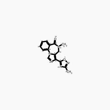 Cc1noc(-c2ncn3c2CN(C)C(=O)c2ccccc2-3)n1